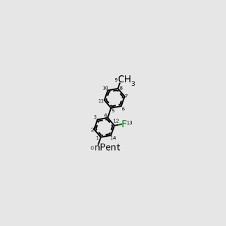 CCCCCc1ccc(-c2ccc(C)cc2)c(F)c1